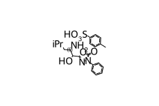 CC(C)C[C@H](N)C(O)c1nn(-c2ccccc2)c(=O)o1.Cc1ccc(S(=O)(=O)O)cc1